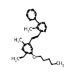 C=Cc1cc(C)c(/C=C/c2cccc(-c3ccccc3)c2C)cc1OCCCCC